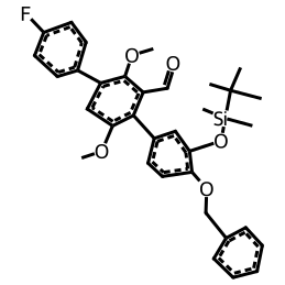 COc1cc(-c2ccc(F)cc2)c(OC)c(C=O)c1-c1ccc(OCc2ccccc2)c(O[Si](C)(C)C(C)(C)C)c1